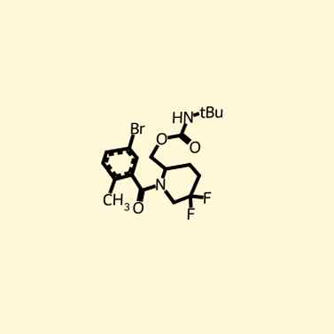 Cc1ccc(Br)cc1C(=O)N1CC(F)(F)CCC1COC(=O)NC(C)(C)C